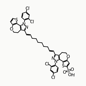 O=S(=O)(O)c1cc2c(s1)-c1c(c(/C=C/CCCCCC/C=C/c3nn(-c4ccc(Cl)cc4Cl)c4c3CCOc3ccsc3-4)nn1-c1ccc(Cl)cc1Cl)CCO2